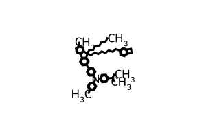 CCCCCCCCC1(CCCCCCCCc2ccc3c(c2)CC3)c2cc(C)ccc2-c2ccc(-c3ccc(N(c4ccc(C)cc4)c4ccc(C(C)CC)cc4)cc3)cc21